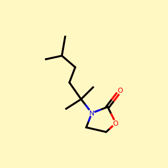 CC(C)CCC(C)(C)N1CCOC1=O